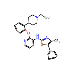 CC(C)(C)CN1CCC(c2ccccc2Oc2ncccc2Nc2nc(C(F)(F)F)c(-c3ccccc3)s2)CC1